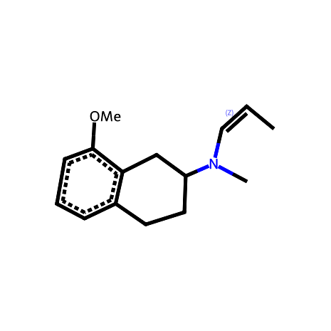 C/C=C\N(C)C1CCc2cccc(OC)c2C1